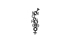 CC(C)(C)c1ccc(S(=O)(=O)N2CCN3C[C@@H](Oc4cnc(C5CC5)cn4)C[C@H]3C2)cc1